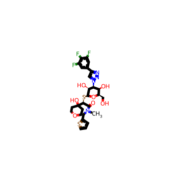 CN(Cc1cccs1)C(=O)[C@@H](S[C@@H]1O[C@H](CO)[C@H](O)[C@H](n2cc(-c3cc(F)c(F)c(F)c3)nn2)[C@H]1O)C1(O)CCOCC1